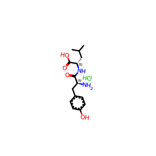 CC(C)C[C@H](NC(=O)[C@@H](N)Cc1ccc(O)cc1)C(=O)O.Cl